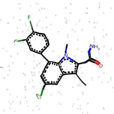 Cc1c(C(N)=O)n(C)c2c(-c3ccc(F)c(F)c3)cc(Cl)cc12